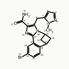 Cn1nccc1Cc1c(C(N)=O)nc2n1C1CC(C1)c1ccc(Br)cc1-2